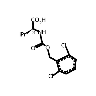 CC(C)[C@H](NC(=O)OCc1c(Cl)cccc1Cl)C(=O)O